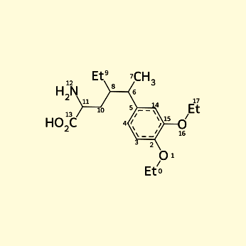 CCOc1ccc(C(C)C(CC)CC(N)C(=O)O)cc1OCC